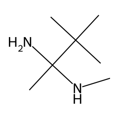 CNC(C)(N)C(C)(C)C